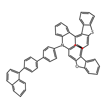 c1ccc(N(c2ccc(-c3ccc(-c4cccc5ccccc45)cc3)cc2)c2ccc3c(c2)oc2ccccc23)c(-c2cccc3sc4ccccc4c23)c1